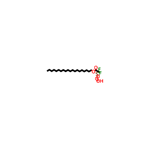 CCCCCCCCCCCCCCCCCCCCOC(=O)C(F)(F)SOOO